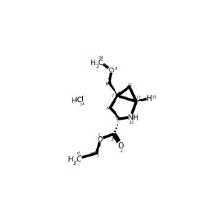 CCOC(=O)[C@@H]1C[C@]2(COC)C[C@@H]2N1.Cl